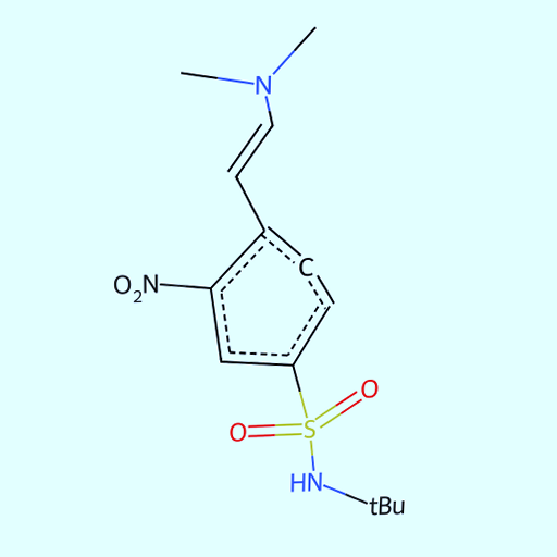 CN(C)C=Cc1ccc(S(=O)(=O)NC(C)(C)C)cc1[N+](=O)[O-]